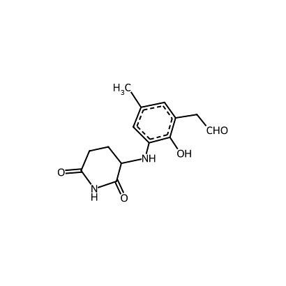 Cc1cc(CC=O)c(O)c(NC2CCC(=O)NC2=O)c1